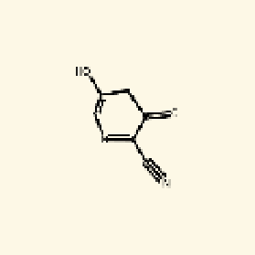 N#CC1=NC=C(O)CC1=O